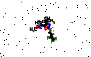 CO/N=C(\C)c1oc(SCCC(F)=C(F)F)nc1C(C)(C)C